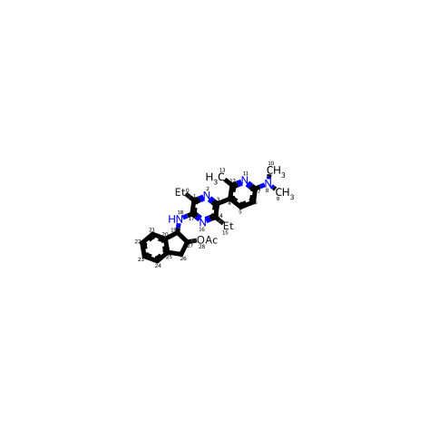 CCc1nc(-c2ccc(N(C)C)nc2C)c(CC)nc1NC1c2ccccc2CC1OC(C)=O